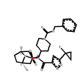 O=C(NC1C[C@H]2CC[C@@H](C1)N2S(=O)(=O)CC1CCN(C(=O)OCc2ccccc2)CC1)c1cc(C2(F)CC2)on1